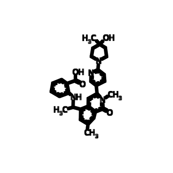 Cc1cc(C(C)Nc2ccccc2C(=O)O)c2cc(-c3ccc(N4CCC(C)(O)CC4)nc3)n(C)c(=O)c2c1